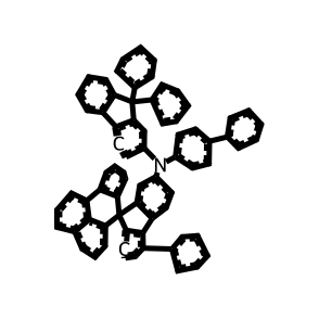 c1ccc(-c2ccc(N(c3ccc4c(c3)C(c3ccccc3)(c3ccccc3)c3ccccc3-4)c3ccc4c(c3)C3(c5ccccc5-c5cccc6cccc3c56)c3cccc(-c5ccccc5)c3-4)cc2)cc1